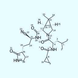 CC(C)C[C@H](NC(=O)C1CC1)C(=O)N1C[C@H]2[C@@H]([C@H]1C(=O)N[C@H](C#N)CC[C@@H]1CCNC1=O)C2(C)C